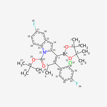 CC/C(=C(/B1OC(C)(C)C(C)(C)O1)c1cc2cc(F)ccc2n1C(=O)OC(C)(C)C)c1ccc(F)cc1Cl